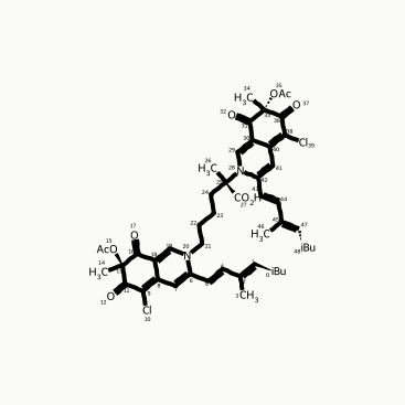 CC[C@H](C)/C=C(C)/C=C/C1=CC2=C(Cl)C(=O)[C@@](C)(OC(C)=O)C(=O)C2=CN1CCCC[C@@](C)(C(=O)O)N1C=C2C(=O)[C@](C)(OC(C)=O)C(=O)C(Cl)=C2C=C1/C=C/C(C)=C/[C@@H](C)CC